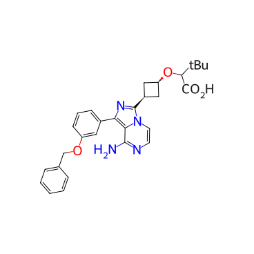 CC(C)(C)C(O[C@H]1C[C@@H](c2nc(-c3cccc(OCc4ccccc4)c3)c3c(N)nccn32)C1)C(=O)O